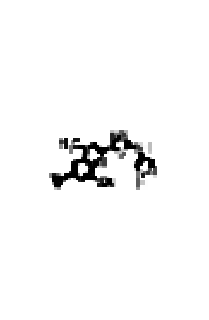 Cc1cc(-c2nnc(Nc3cn[nH]c3)s2)nc2c(C(C)(C)C)cc(C3CC3)cc12